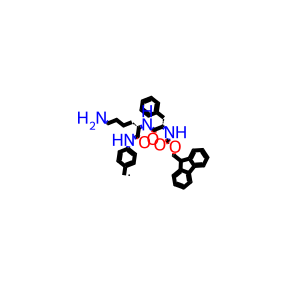 [CH2]c1ccc(NC(=O)[C@H](CCCCN)NC(=O)[C@H](Cc2ccccc2)NC(=O)OCC2c3ccccc3-c3ccccc32)cc1